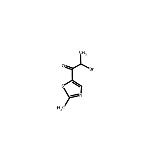 Cc1ncc(C(=O)C(C)Br)s1